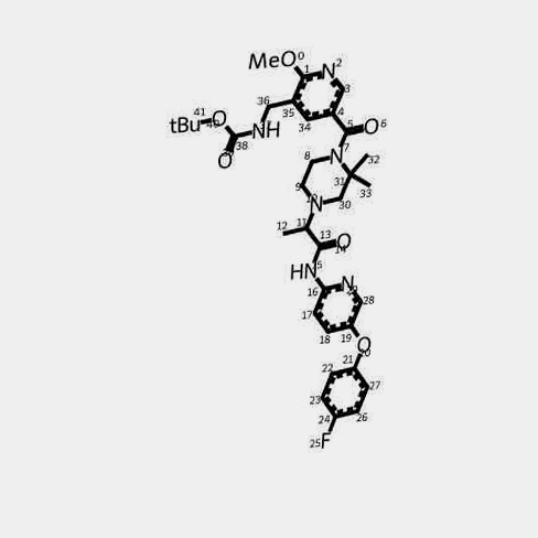 COc1ncc(C(=O)N2CCN(C(C)C(=O)Nc3ccc(Oc4ccc(F)cc4)cn3)CC2(C)C)cc1CNC(=O)OC(C)(C)C